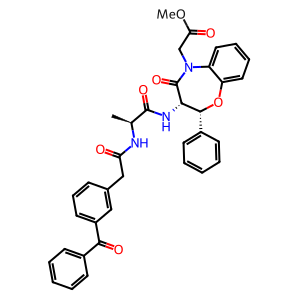 COC(=O)CN1C(=O)[C@@H](NC(=O)[C@H](C)NC(=O)Cc2cccc(C(=O)c3ccccc3)c2)[C@@H](c2ccccc2)Oc2ccccc21